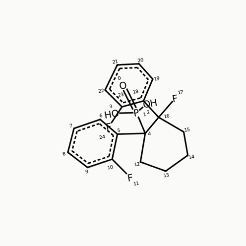 O=P(O)(O)C1(c2ccccc2F)CCCCC1(F)c1ccccc1F